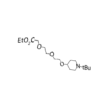 CCOC(=O)COCCOCCOC1CCN(C(C)(C)C)CC1